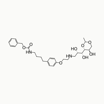 CC1OC[C@@H](O)[C@H]([C@H](O)[C@@H](O)CNCCOc2ccc(CCCCNC(=O)OCc3ccccc3)cc2)O1